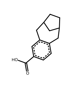 O=C(O)c1ccc2c(c1)CC1CCC(C2)C1